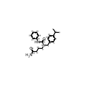 CC(C)c1ccc(CN(CCCC(N)=O)C(=O)Nc2ccccc2)cc1